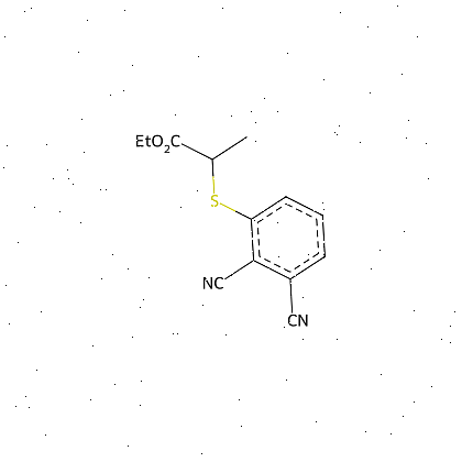 CCOC(=O)C(C)Sc1cccc(C#N)c1C#N